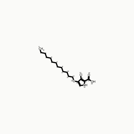 CCCCCCCCCCCCCOc1c[nH]c(C(=O)O)c1Cl